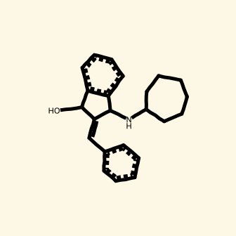 OC1/C(=C/c2ccccc2)C(NC2CCCCCC2)c2ccccc21